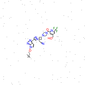 C[Si](C)(C)CCOCn1ccc2c(-c3cnn([C@]4(CC#N)C[C@H](N5CCN(C(=O)c6cc(CO)cc(C(F)(F)F)n6)CC5)C4)c3)ncnc21